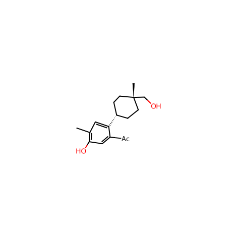 CC(=O)c1cc(O)c(C)cc1[C@H]1CC[C@@](C)(CO)CC1